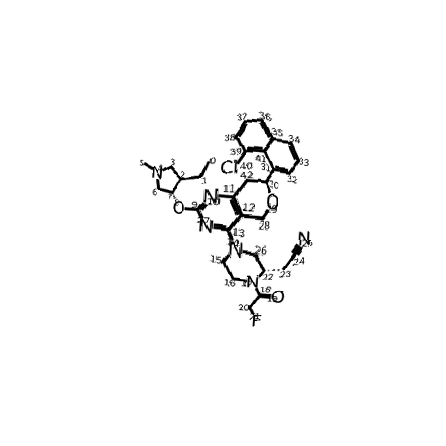 CCC1CN(C)C[C@H]1Oc1nc2c(c(N3CCN(C(=O)CF)[C@@H](CC#N)C3)n1)COC(c1cccc3cccc(Cl)c13)C2